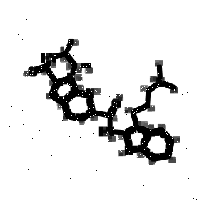 C[C@@H]1NC(=O)c2cc3ccc(C(=O)Nc4nc5ccccc5n4CCCN(C)C)nc3n2[C@H]1C